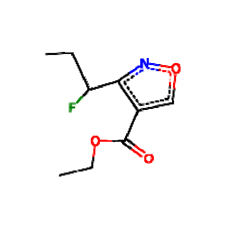 CCOC(=O)c1conc1C(F)CC